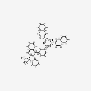 CC1(C)c2ccccc2-c2c1cc1ccccc1c2-c1cccc(C2=NC(c3ccc4ccccc4c3)NC(c3ccc4ccccc4c3)=N2)c1